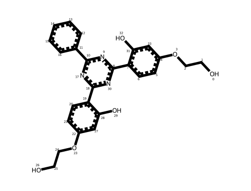 OCCOc1ccc(-c2nc(-c3ccccc3)nc(-c3ccc(OCCO)cc3O)n2)c(O)c1